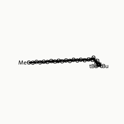 COCCOCCOCCOCCOCCOCCOCCOCCOCCOCCOCCOCCOCCOCCOCCOCCOCCOC(=O)CCC(=O)Oc1ccc(C(C)(C)C)cc1C(C)(C)C